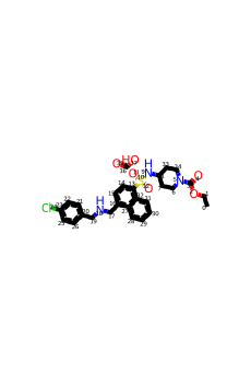 CCOC(=O)N1CCC(NS(=O)(=O)c2ccc(CNCc3ccc(Cl)cc3)c3ccccc23)CC1.O=CO